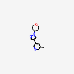 Cc1cncc(-c2cnn(C3CCOCC3)c2)c1